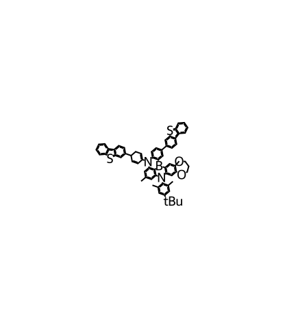 Cc1cc2c3c(c1)N(c1c(C)cc(C(C)(C)C)cc1C)c1cc4c(cc1B3c1cc(-c3ccc5c(c3)sc3ccccc35)ccc1N2C1=CCC(c2ccc3c(c2)sc2ccccc23)C=C1)OCCCO4